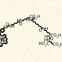 O=C(O)CCC(NC(=O)N[C@@H](CCCCNC(=O)CCCCCCC(=O)NC(CCCCNC(=O)CCCCCNC(=O)COc1ccc(/C=C\c2ccc3n2[B-](F)(F)[N+]2=C(c4ccc[nH]4)C=CC2=C3)cc1)C(=O)O)C(=O)O)C(=O)O